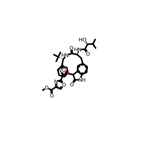 COC(=O)c1coc(-c2nc3oc2[C@@]2(C4CCCCC4)C(=O)Nc4ccc(cc42)C[C@H](NC(=O)[C@@H](O)C(C)C)C(=O)N[C@H]3C(C)(C)C)n1